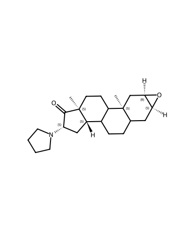 C[C@]12C[C@H]3O[C@H]3CC1CCC1C2CC[C@]2(C)C(=O)[C@@H](N3CCCC3)C[C@@H]12